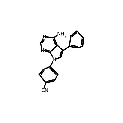 N#Cc1ccc(-n2cc(-c3ccccc3)c3c(N)ncnc32)cc1